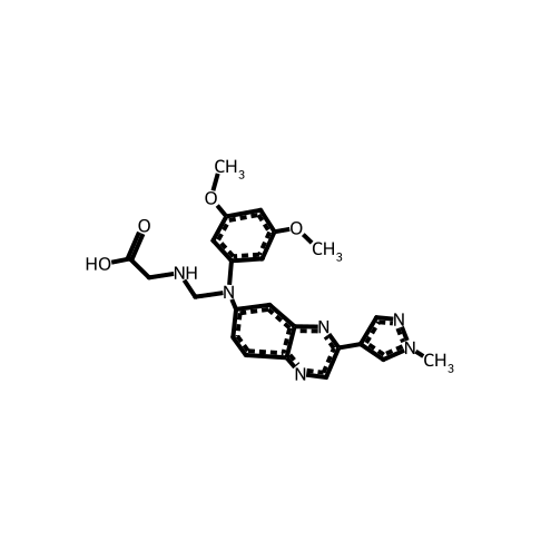 COc1cc(OC)cc(N(CNCC(=O)O)c2ccc3ncc(-c4cnn(C)c4)nc3c2)c1